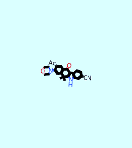 CC(=O)c1cc2c(cc1N1CCOCC1)C(C)(C)c1[nH]c3cc(C#N)ccc3c1C2=O